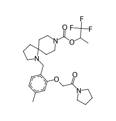 Cc1ccc(CN2CCCC23CCN(C(=O)OC(C)C(F)(F)F)CC3)c(OCC(=O)N2CCCC2)c1